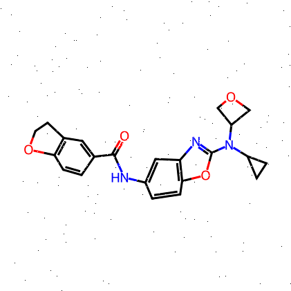 O=C(Nc1ccc2oc(N(C3CC3)C3COC3)nc2c1)c1ccc2c(c1)CCO2